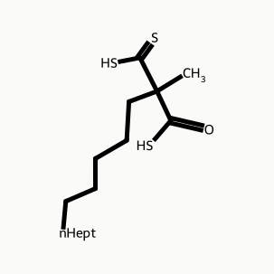 CCCCCCCCCCCCC(C)(C(=O)S)C(=S)S